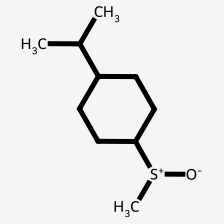 CC(C)C1CCC([S+](C)[O-])CC1